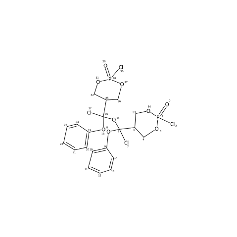 O=P1(Cl)OCC(C(Cl)(Oc2ccccc2)OC(Cl)(Oc2ccccc2)C2COP(=O)(Cl)OC2)CO1